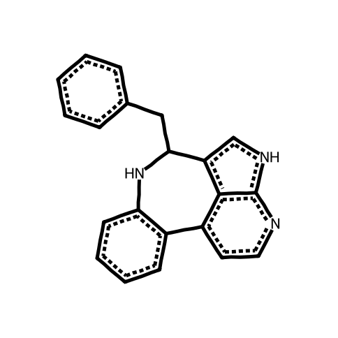 c1ccc(CC2Nc3ccccc3-c3ccnc4[nH]cc2c34)cc1